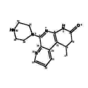 CC1CC(=O)Nc2nc(N3CCNCC3)c3ncccc3c21